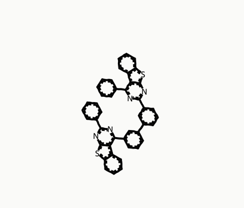 c1ccc(-c2nc(-c3cccc(-c4cccc(-c5nc(-c6ccccc6)c6c(n5)sc5ccccc56)c4)c3)c3c(n2)sc2ccccc23)cc1